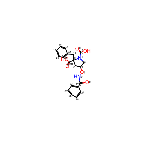 O=C(NOC1CN(C(=O)O)C(Cc2ccccc2)(C(=O)O)C1)c1ccccc1